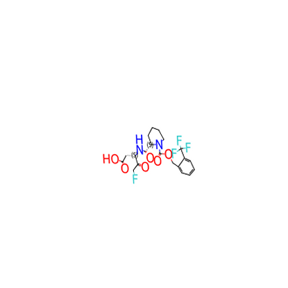 O=C(O)C[C@H](NC(=O)[C@@H]1CCCCN1C(=O)OCc1ccccc1C(F)(F)F)C(=O)CF